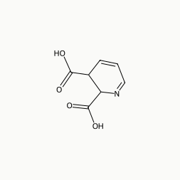 O=C(O)C1C=CC=NC1C(=O)O